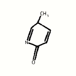 CC1C=CC(=O)N=C1